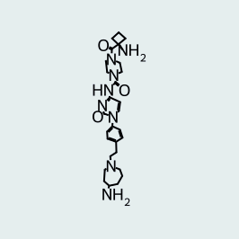 NC1CCCN(CCc2ccc(-n3ccc(NC(=O)N4CCN(C(=O)C5(N)CCC5)CC4)nc3=O)cc2)CC1